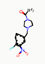 BC(=O)N1CCN(Cc2ccc(F)c([N+](=O)[O-])c2)CC1